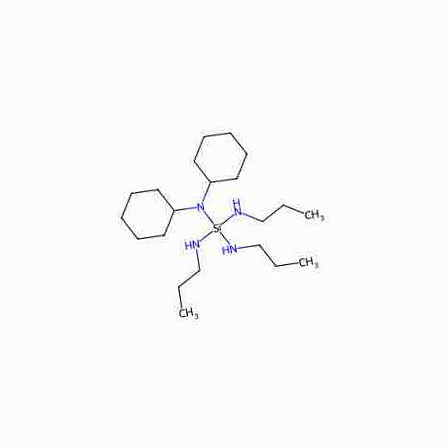 CCCN[Si](NCCC)(NCCC)N(C1CCCCC1)C1CCCCC1